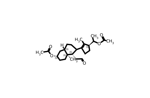 CC(=O)OC(C)[C@H]1CCC(C2CC[C@H]3C[C@@H](OC(C)=O)CC[C@]3(C)[C@H]2CC=O)=C1C